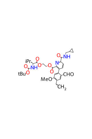 C=Cc1cc(C=O)c(-c2ccc(C(=O)NCC3CC3)nc2C(=O)OCCOC(=O)[C@@H](NC(=O)OC(C)(C)C)C(C)C)cc1OC